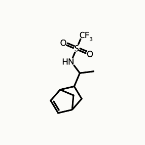 CC(NS(=O)(=O)C(F)(F)F)C1CC2C=CC1C2